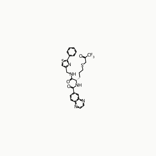 O=C(N[C@@H](CCCSCC(=O)C(F)(F)F)C(=O)NCc1csc(-c2ccccc2)n1)c1ccc2nccnc2c1